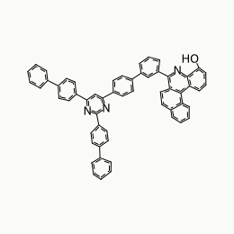 Oc1cccc2c1nc(-c1cccc(-c3ccc(-c4cc(-c5ccc(-c6ccccc6)cc5)nc(-c5ccc(-c6ccccc6)cc5)n4)cc3)c1)c1ccc3ccccc3c12